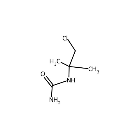 CC(C)(CCl)NC(N)=O